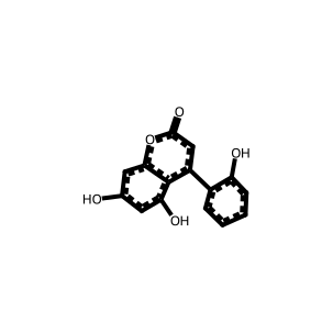 O=c1cc(-c2ccccc2O)c2c(O)cc(O)cc2o1